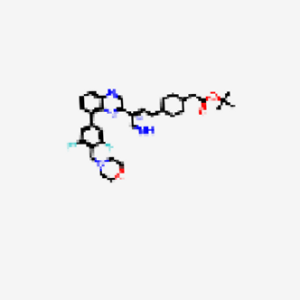 CC(C)(C)OC(=O)CC1CCC(C/C=C(\C=N)c2cnc3cccc(-c4cc(F)c(CN5CCOCC5)c(F)c4)c3n2)CC1